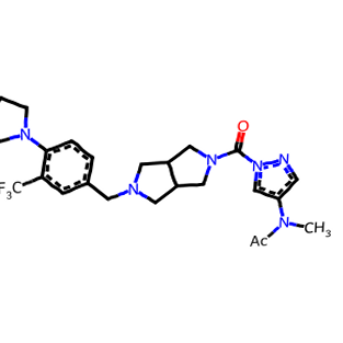 CC(=O)N(C)c1cnn(C(=O)N2CC3CN(Cc4ccc(N5CCCC5)c(C(F)(F)F)c4)CC3C2)c1